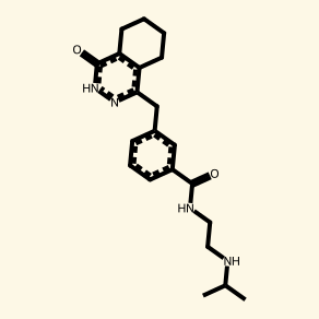 CC(C)NCCNC(=O)c1cccc(Cc2n[nH]c(=O)c3c2CCCC3)c1